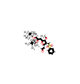 CO[C@H]1C(CC(CO[Si](C)(C)C(C)(C)C)O[Si](C)(C)C(C)(C)C)O[C@@H](CC=O)[C@@H]1CS(=O)(=O)c1ccccc1